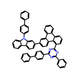 c1ccc(-c2ccc(-c3nc(-c4ccccc4)nc(-c4cccc5c6ccccc6c6cc(-c7ccc8c9ccccc9n(-c9ccc(-c%10ccccc%10)cc9)c8c7)ccc6c45)n3)cc2)cc1